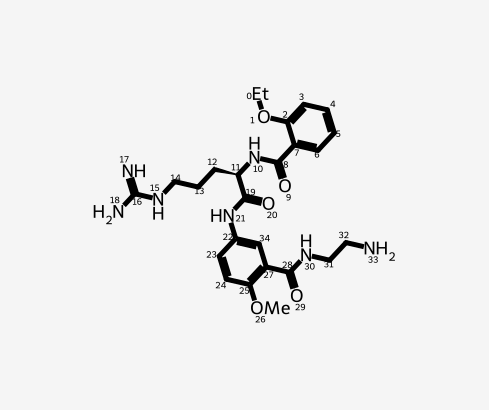 CCOc1ccccc1C(=O)N[C@H](CCCNC(=N)N)C(=O)Nc1ccc(OC)c(C(=O)NCCN)c1